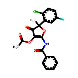 CC(=O)OC1=C(NC(=O)c2ccccc2)OC(C)(c2cc(F)ccc2Cl)C1=O